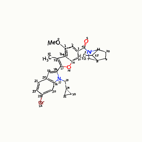 COc1cc(C(=O)N2CC3CCC2C3C)cc2oc(-c3cc4ccc(Br)cc4n3CC3CC3)c(C)c12